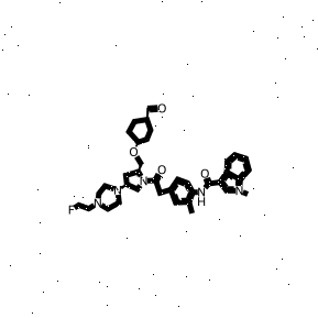 Cc1cc(CC(=O)N2C[C@@H](N3CCN(CCF)CC3)C[C@H]2CO[C@H]2CC[C@H](C=O)CC2)ccc1NC(=O)c1cn(C)c2ccccc12